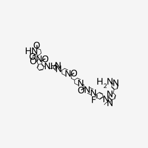 Cc1nc2ccc(-c3ccnc(N)c3)nc2n1-c1ccc(N2CCN(C(=O)CN3CCC(CC(=O)N4CCC(n5cc(CNc6cccc7c6C(=O)N(C6CCC(=O)NC6=O)C7=O)cn5)CC4)CC3)CC2)c(F)c1